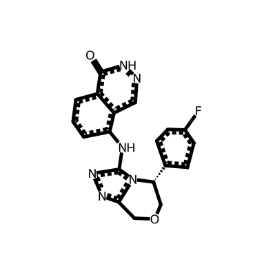 O=c1[nH]ncc2c(Nc3nnc4n3[C@H](c3ccc(F)cc3)COC4)cccc12